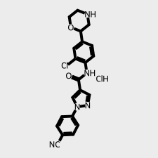 Cl.N#Cc1ccc(-n2cc(C(=O)Nc3ccc(C4CNCCO4)cc3Cl)cn2)cc1